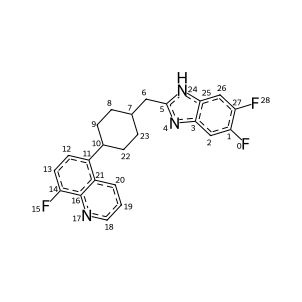 Fc1cc2nc(CC3CCC(c4ccc(F)c5ncccc45)CC3)[nH]c2cc1F